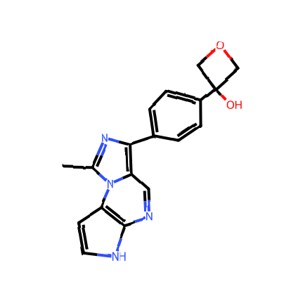 Cc1nc(-c2ccc(C3(O)COC3)cc2)c2cnc3[nH]ccc3n12